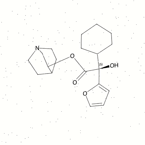 O=C(OC1CN2CCC1CC2)[C@@](O)(c1ccco1)C1CCCCC1